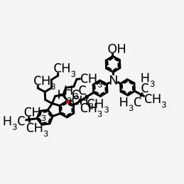 CCCCC(CC)CC1(CC(CC)CCCC)c2cc(C(C)(C)C)ccc2-c2ccc(C(C)(C)C(C)(C)c3ccc(N(c4ccc(O)cc4)c4ccc(C(C)(C)C)cc4)cc3)cc21